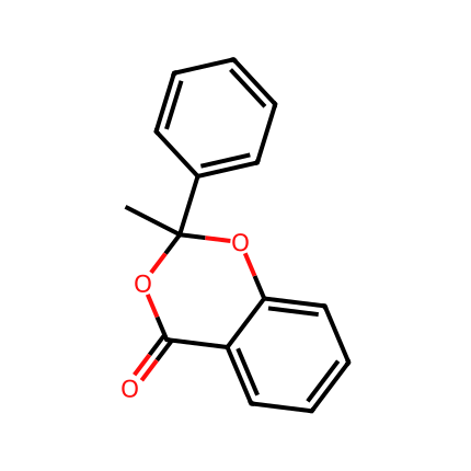 CC1(c2ccccc2)OC(=O)c2ccccc2O1